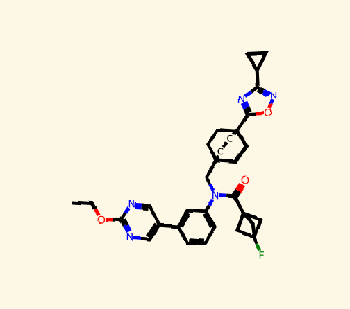 CCOc1ncc(-c2cccc(N(CC34CCC(c5nc(C6CC6)no5)(CC3)CC4)C(=O)C34CC(F)(C3)C4)c2)cn1